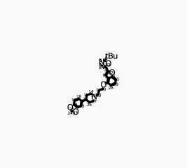 CC(C)(C)c1nnc(-c2cc3c(OCCCN4CCC(c5ccc6c(c5)OCO6)CC4)cccc3o2)o1